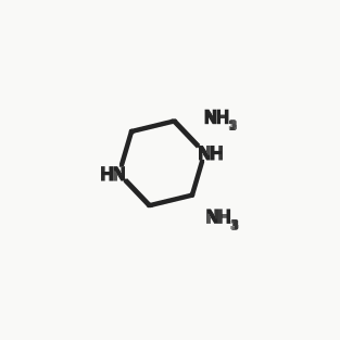 C1CNCCN1.N.N